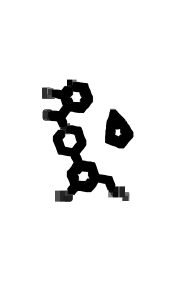 CCc1ncccc1C(=O)N1CCC(c2cc(O)cc(CN)c2)CC1.c1cc2cc-2c1